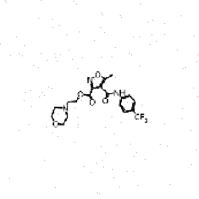 Cc1onc(C(=O)OCCN2CCOCC2)c1C(=O)Nc1ccc(C(F)(F)F)cc1